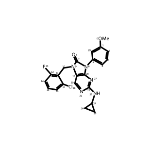 COc1cccc(-n2c(=O)n(Cc3c(F)cccc3Cl)c3cnc(NC4CC4)nc32)c1